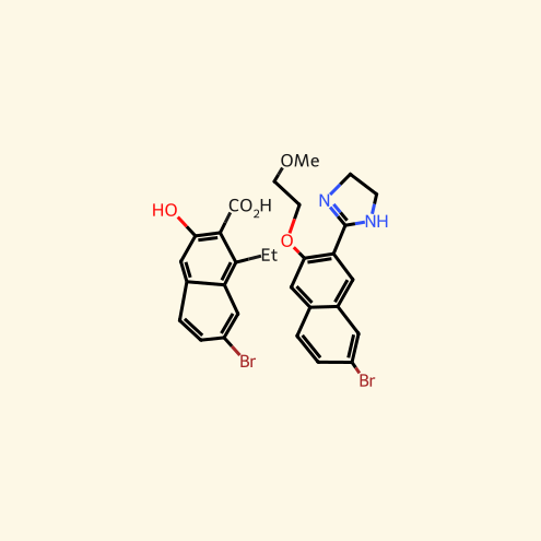 CCc1c(C(=O)O)c(O)cc2ccc(Br)cc12.COCCOc1cc2ccc(Br)cc2cc1C1=NCCN1